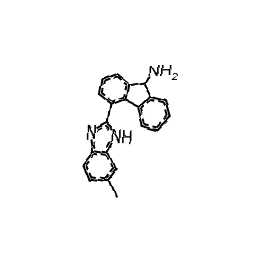 Cc1ccc2nc(-c3cccc4c3-c3ccccc3C4N)[nH]c2c1